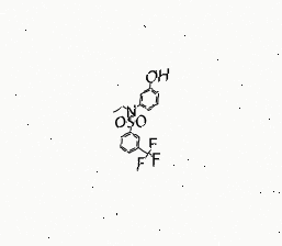 CCN(c1cccc(O)c1)S(=O)(=O)c1cccc(C(F)(F)F)c1